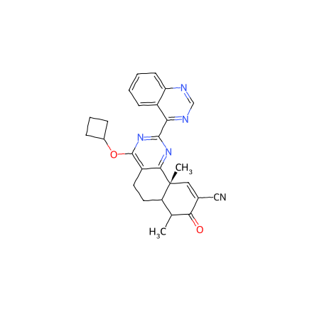 CC1C(=O)C(C#N)=C[C@@]2(C)c3nc(-c4ncnc5ccccc45)nc(OC4CCC4)c3CCC12